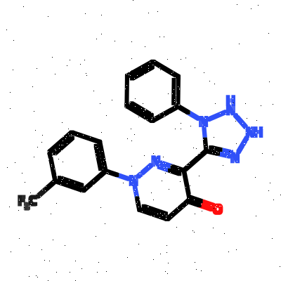 O=c1ccn(-c2cccc(C(F)(F)F)c2)nc1C1=NNNN1c1ccccc1